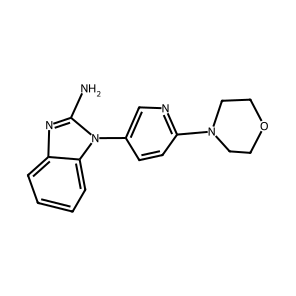 Nc1nc2ccccc2n1-c1ccc(N2CCOCC2)nc1